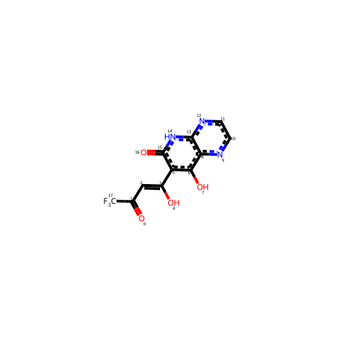 O=C(/C=C(\O)c1c(O)c2nccnc2[nH]c1=O)C(F)(F)F